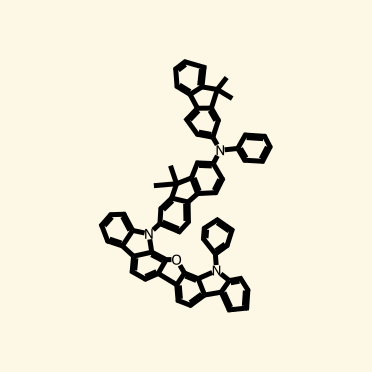 CC1(C)c2ccccc2-c2ccc(N(c3ccccc3)c3ccc4c(c3)C(C)(C)c3cc(-n5c6ccccc6c6ccc7c8ccc9c%10ccccc%10n(-c%10ccccc%10)c9c8oc7c65)ccc3-4)cc21